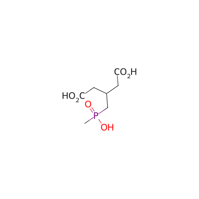 CP(=O)(O)CC(CC(=O)O)CC(=O)O